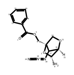 B[C@@H]1O[C@@]2(COC(=O)c3ccccc3)CO[C@@H]1C2N=[N+]=[N-]